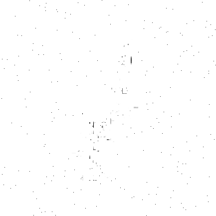 COc1ccc(COC(=O)NC(CCCC(=O)N[C@H]2C(=O)N3C(C(=O)O)=C(COC(C)=O)CS(=O)(=O)[C@@H]23)OC(=O)C(C)(C)C)cc1